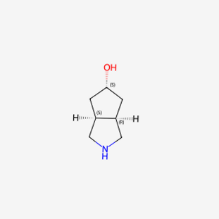 O[C@@H]1C[C@H]2CNC[C@H]2C1